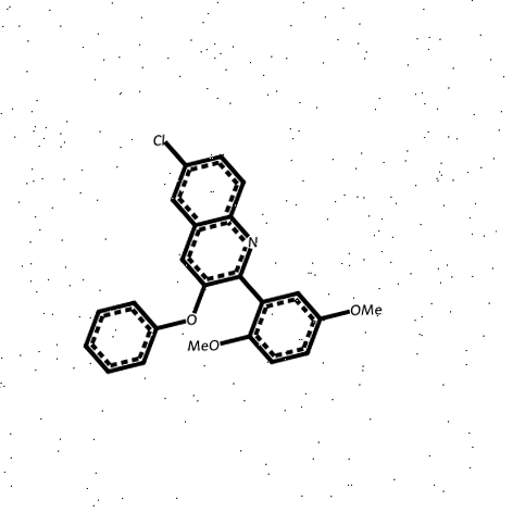 COc1ccc(OC)c(-c2nc3ccc(Cl)cc3cc2Oc2ccccc2)c1